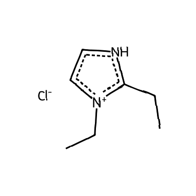 CCc1[nH]cc[n+]1CC.[Cl-]